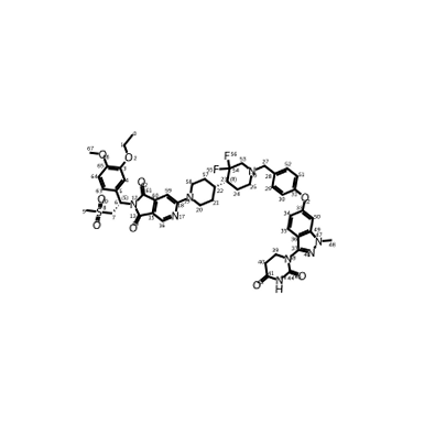 CCOc1cc([C@@H](CS(C)(=O)=O)N2C(=O)c3cnc(N4CCC([C@H]5CCN(Cc6ccc(Oc7ccc8c(N9CCC(=O)NC9=O)nn(C)c8c7)cc6)CC5(F)F)CC4)cc3C2=O)ccc1OC